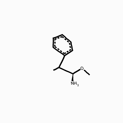 CO[C@@H](N)C(C)c1ccccc1